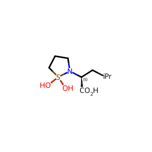 CC(C)C[C@@H](C(=O)O)N1CCCS1(O)O